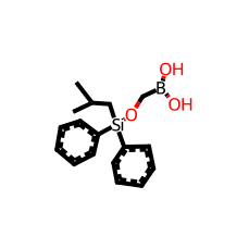 CC(C)C[Si](OCB(O)O)(c1ccccc1)c1ccccc1